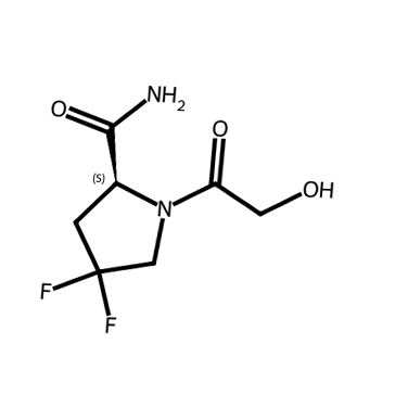 NC(=O)[C@@H]1CC(F)(F)CN1C(=O)CO